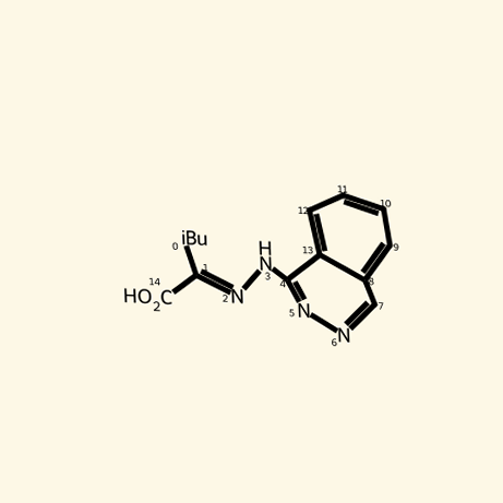 CCC(C)/C(=N\Nc1nncc2ccccc12)C(=O)O